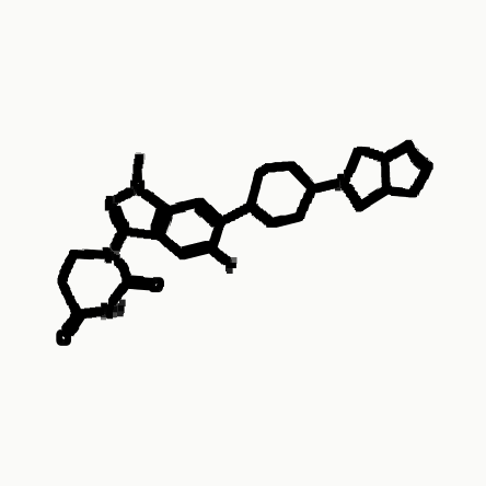 Cn1nc(N2CCC(=O)NC2=O)c2cc(F)c(C3CCC(N4CC5CCCC5C4)CC3)cc21